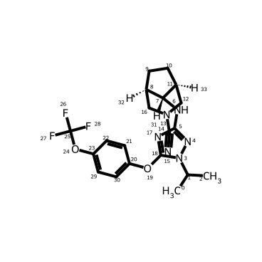 CC(C)n1nc(N[C@@H]2[C@@H]3CC[C@H]2CN(C#N)C3)nc1Oc1ccc(OC(F)(F)F)cc1